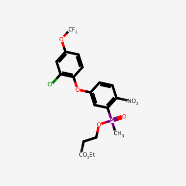 CCOC(=O)CCOP(C)(=O)c1cc(Oc2ccc(OC(F)(F)F)cc2Cl)ccc1[N+](=O)[O-]